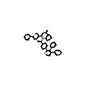 C=C(/C=C(\N/C(=C\C)c1ccc(-c2pccc(C3=CCCC=C3)c2-c2ccccc2)cc1)c1ccc(-c2ccccc2)cc1)c1ccccc1